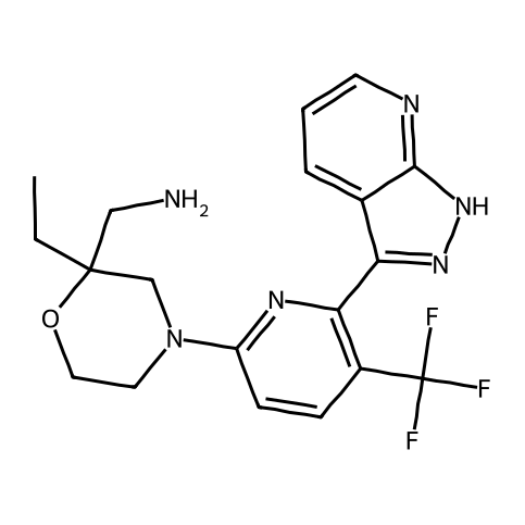 CCC1(CN)CN(c2ccc(C(F)(F)F)c(-c3n[nH]c4ncccc34)n2)CCO1